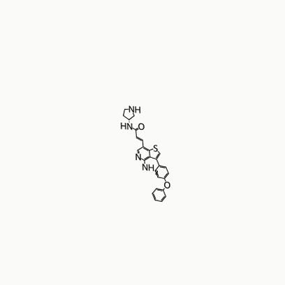 Nc1ncc(C=CC(=O)N[C@@H]2CCNC2)c2scc(-c3ccc(Oc4ccccc4)cc3)c12